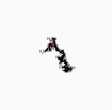 CC(=O)N[C@@H](CCCCN)C(=O)N[C@H](C(=O)N[C@@H](CCCNC(N)=O)C(=O)Nc1ccc(COC(=O)N(C)CCN(C)C(=O)Oc2cc3c(c4cc[nH]c24)[C@H](CCl)CN3C(=O)C23CC(C(=O)N4C[C@@H](CCl)c5c4cc(OP(=O)(O)O)c4[nH]cc(C)c54)(C2)C3)cc1)C(C)C